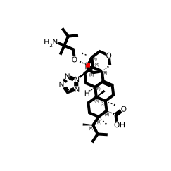 CC(C)[C@@H](C)[C@@]1(C)CC[C@]2(C)[C@H]3CC[C@@H]4[C@@]5(COC[C@]4(C)[C@@H](OCC(C)(N)C(C)C)[C@H](n4ncnn4)C5)C3=CC[C@@]2(C)[C@@H]1C(=O)O